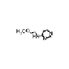 COCCNc1ccn[c]n1